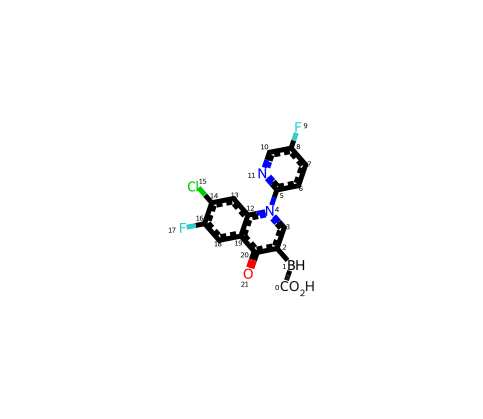 O=C(O)Bc1cn(-c2ccc(F)cn2)c2cc(Cl)c(F)cc2c1=O